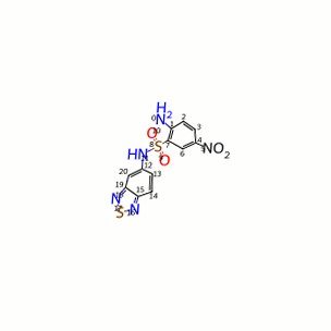 Nc1ccc([N+](=O)[O-])cc1S(=O)(=O)Nc1ccc2nsnc2c1